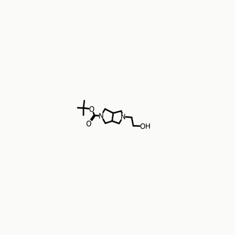 CC(C)(C)OC(=O)N1CC2CN(CCO)CC2C1